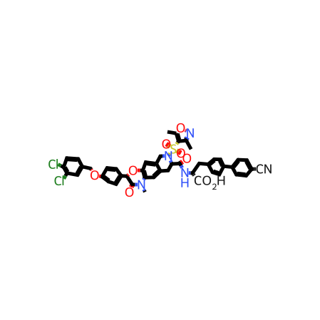 Cc1noc(C)c1S(=O)(=O)N1Cc2cc3c(cc2CC1C(=O)NC(Cc1ccc(-c2ccc(C#N)cc2)cc1)C(=O)O)N(C)C(=O)C(c1ccc(OCc2ccc(Cl)c(Cl)c2)cc1)O3